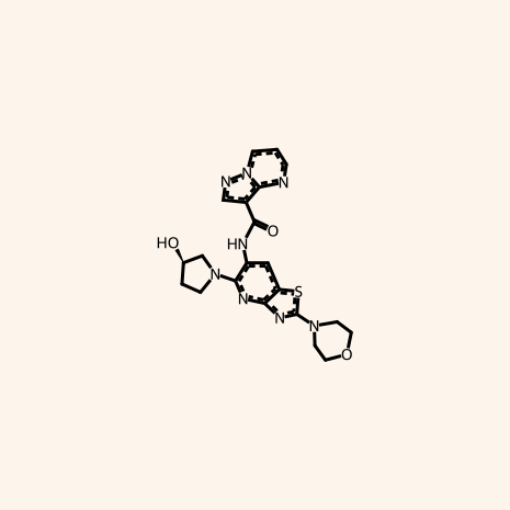 O=C(Nc1cc2sc(N3CCOCC3)nc2nc1N1CC[C@@H](O)C1)c1cnn2cccnc12